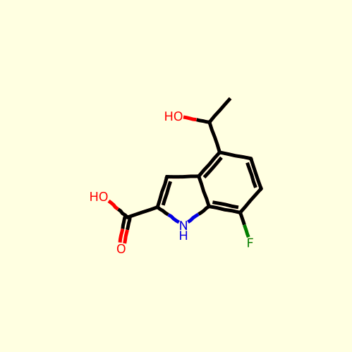 CC(O)c1ccc(F)c2[nH]c(C(=O)O)cc12